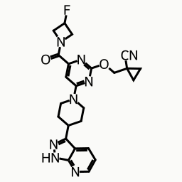 N#CC1(COc2nc(C(=O)N3CC(F)C3)cc(N3CCC(c4n[nH]c5ncccc45)CC3)n2)CC1